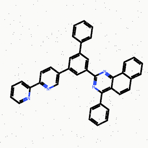 c1ccc(-c2cc(-c3ccc(-c4ccccn4)nc3)cc(-c3nc(-c4ccccc4)c4ccc5ccccc5c4n3)c2)cc1